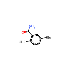 CC(C)(C)c1ccc(C=O)c(C(N)=O)c1